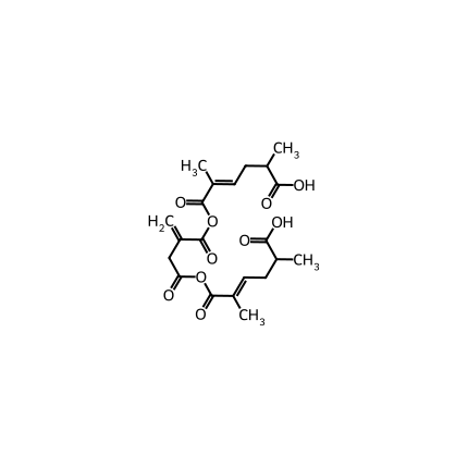 C=C(CC(=O)OC(=O)C(C)=CCC(C)C(=O)O)C(=O)OC(=O)C(C)=CCC(C)C(=O)O